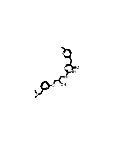 Cc1ccc(Cc2cnc(NCC(O)COc3cccc(CN(C)C)c3)[nH]c2=O)cn1